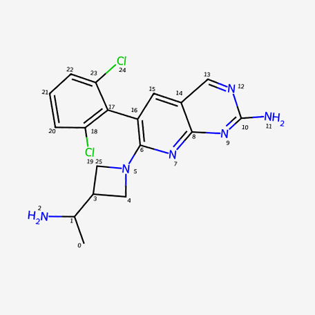 CC(N)C1CN(c2nc3nc(N)ncc3cc2-c2c(Cl)cccc2Cl)C1